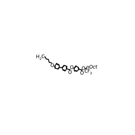 C=CCCCCOc1ccc(-c2ccc(C(=O)Oc3ccc(C(=O)OC(CCCCCCCC)C(F)(F)F)cc3)cc2)cc1